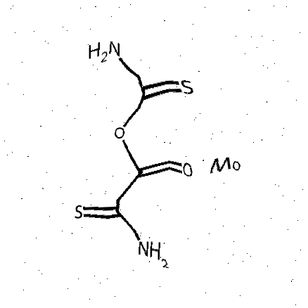 NC(=S)OC(=O)C(N)=S.[Mo]